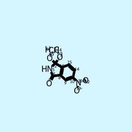 COC1(OC)NC(=O)c2cc([N+](=O)[O-])ccc21